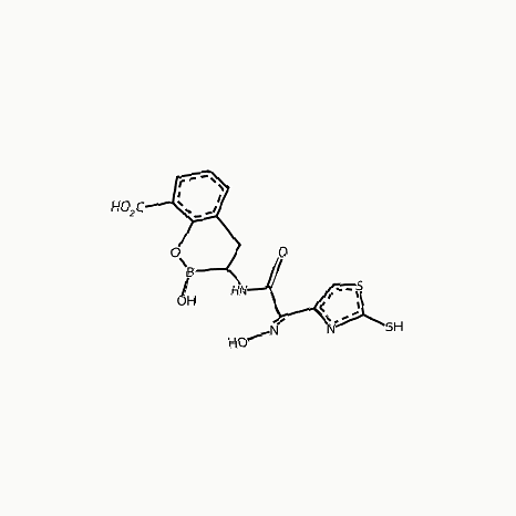 O=C(NC1Cc2cccc(C(=O)O)c2OB1O)C(=NO)c1csc(S)n1